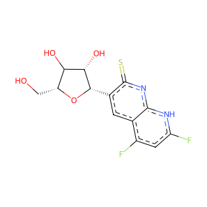 OC[C@H]1O[C@@H](c2cc3c(F)cc(F)[nH]c-3nc2=S)[C@@H](O)C1O